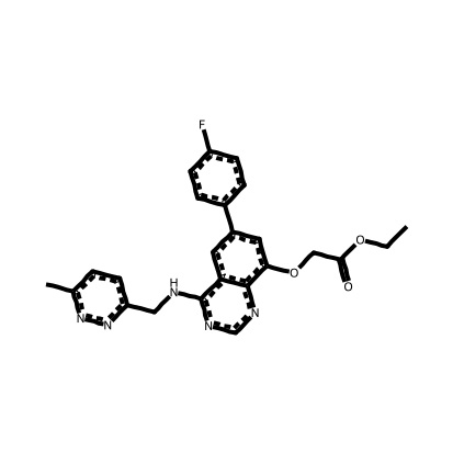 CCOC(=O)COc1cc(-c2ccc(F)cc2)cc2c(NCc3ccc(C)nn3)ncnc12